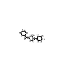 CC(c1ccccc1)N1CCN(c2ccccc2)CC1